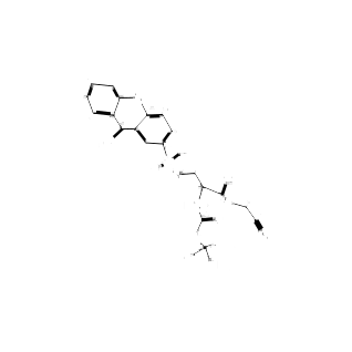 Cn1c2ccccc2c(=O)c2cc(S(=O)(=O)NCC(NC(=O)OC(C)(C)C)C(=O)OCC#N)ccc21